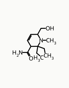 CCC1(CC)C(C(N)=O)C=CC(CO)N1C